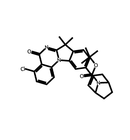 CC(C)(C)OC(=O)N1C2C=C(c3ccc4c(c3)-n3c(nc(=O)c5c(Cl)cccc53)C4(C)C)CC1CC2